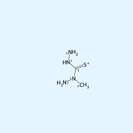 CN(N)C(=S)NN